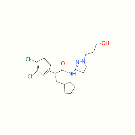 O=C(NC1=NN(CCCO)CC1)[C@H](CC1CCCC1)c1ccc(Cl)c(Cl)c1